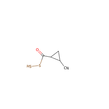 N#CC1CC1C(=O)SS